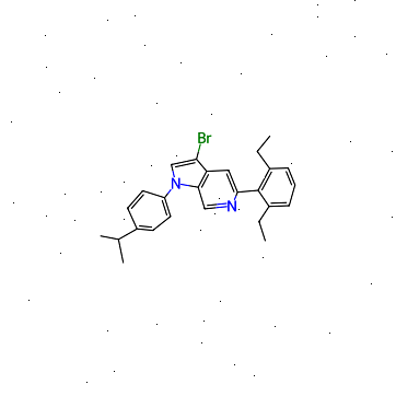 CCc1cccc(CC)c1-c1cc2c(Br)cn(-c3ccc(C(C)C)cc3)c2cn1